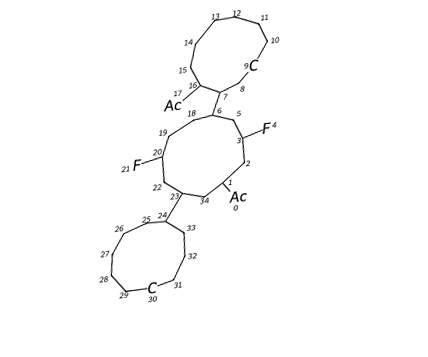 CC(=O)C1CC(F)CC(C2CCCCCCCCC2C(C)=O)CCC(F)CC(C2CCCCCCCCC2)C1